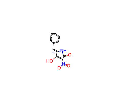 O=C1N/C(=C\c2ccccc2)C(O)=C1[N+](=O)[O-]